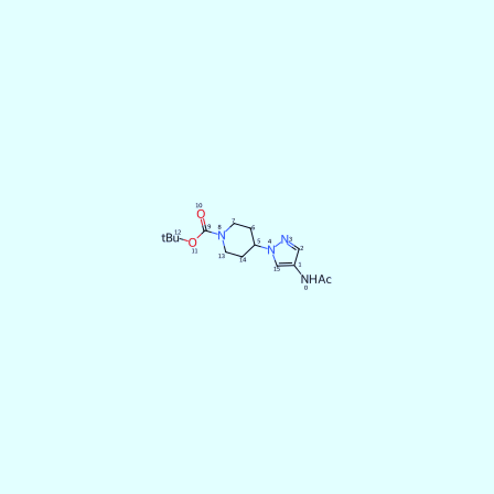 CC(=O)Nc1cnn(C2CCN(C(=O)OC(C)(C)C)CC2)c1